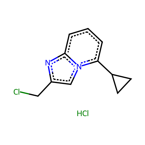 Cl.ClCc1cn2c(C3CC3)cccc2n1